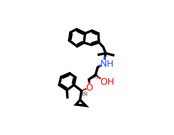 Cc1ccccc1[C@@H](OC[C@H](O)CNC(C)(C)Cc1ccc2ccccc2c1)C1CC1